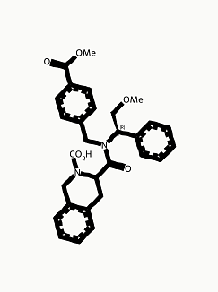 COC[C@@H](c1ccccc1)N(Cc1ccc(C(=O)OC)cc1)C(=O)C1Cc2ccccc2CN1C(=O)O